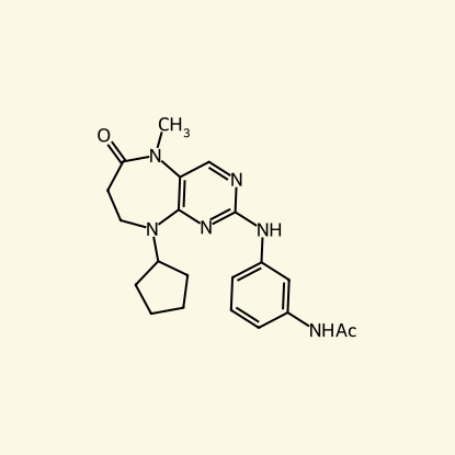 CC(=O)Nc1cccc(Nc2ncc3c(n2)N(C2CCCC2)CCC(=O)N3C)c1